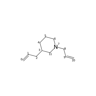 C=CCC1CCCN(CC=C)C1